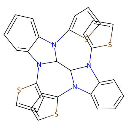 c1csc(N2c3ccccc3N(c3cccs3)C2C2N(c3cccs3)c3ccccc3N2c2cccs2)c1